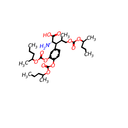 CCCC(C)OC(=O)OCC(C)C(c1ccc(OC(=O)OC(C)CCC)c(OC(=O)OC(C)CCC)c1)[C@H](N)C(=O)O